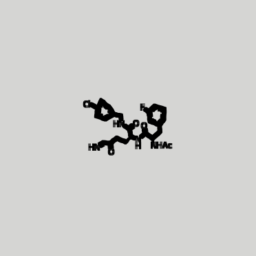 CC(=O)N[C@@H](Cc1cccc(F)c1)C(=O)N[C@@H](CCC(=O)C=N)C(=O)NCc1ccc(Cl)cc1